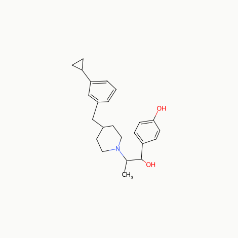 CC(C(O)c1ccc(O)cc1)N1CCC(Cc2cccc(C3CC3)c2)CC1